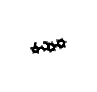 Cc1nccn1CCc1ccc(-c2ccccc2)cc1Cl